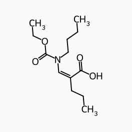 CCCCN(C=C(CCC)C(=O)O)C(=O)OCC